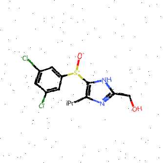 CC(C)c1nc(CO)[nH]c1[S+]([O-])c1cc(Cl)cc(Cl)c1